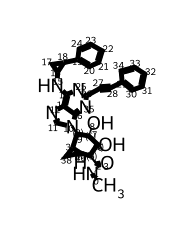 CNC(=O)[C@@H]1[C@@H](O)[C@@H](O)[C@H](n2cnc3c(NC4CC4c4ccccc4)nc(C#Cc4ccccc4)nc32)C2C[C@H]21